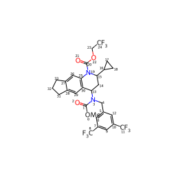 COC(=O)N(Cc1cc(C(F)(F)F)cc(C(F)(F)F)c1)C1CC(C2CC2)N(C(=O)OCC(F)(F)F)c2cc3c(cc21)CCC3